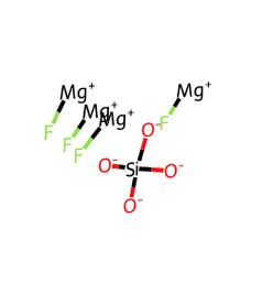 [F][Mg+].[F][Mg+].[F][Mg+].[F][Mg+].[O-][Si]([O-])([O-])[O-]